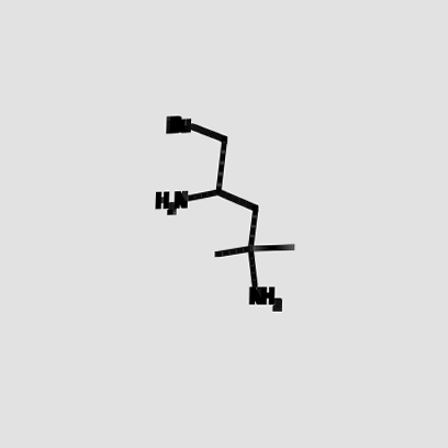 CCC(C)CC(N)CC(C)(C)N